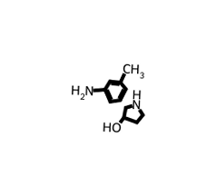 Cc1cccc(N)c1.OC1CCNC1